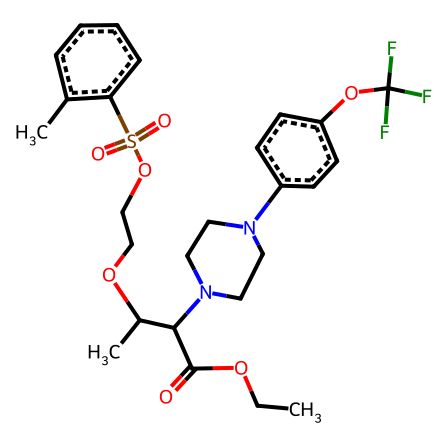 CCOC(=O)C(C(C)OCCOS(=O)(=O)c1ccccc1C)N1CCN(c2ccc(OC(F)(F)F)cc2)CC1